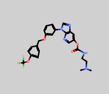 CN(C)CCNC(=O)Oc1cnc2c(c1)ncn2-c1cccc(OCc2ccc(OC(F)(F)F)cc2)c1